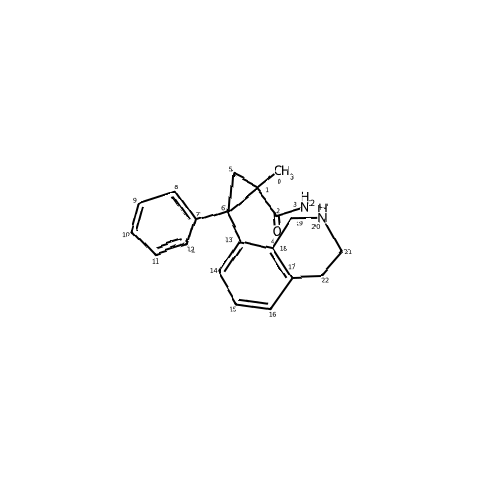 CC1(C(N)=O)CC1(c1ccccc1)c1cccc2c1CNCC2